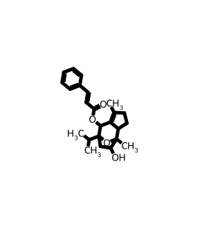 CC1=C2C(CC1)C1(C)OC(C(C)C)(CC1O)C2OC(=O)/C=C/c1ccccc1